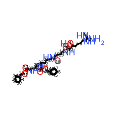 N=C(N)NCCCCC(O)CC(=O)NCCCC(=O)NCCCCN(CCCNC(=O)OCc1ccccc1)C(=O)OCc1ccccc1